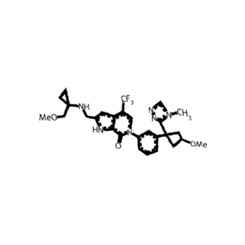 COCC1(NCc2cc3c(C(F)(F)F)cn(-c4cccc(C5(c6nncn6C)CC(OC)C5)c4)c(=O)c3[nH]2)CC1